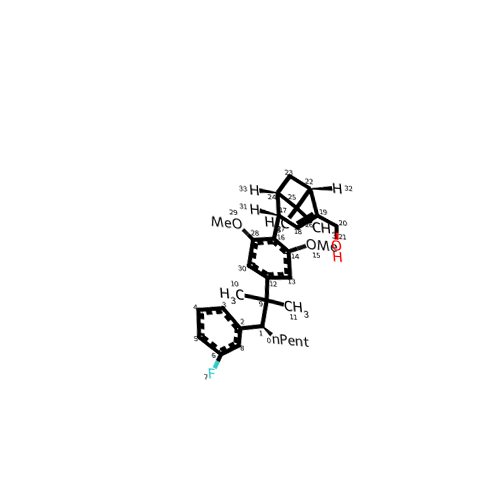 CCCCC[C@@H](c1cccc(F)c1)C(C)(C)c1cc(OC)c([C@H]2C=C(CO)[C@H]3C[C@@H]2C3(C)C)c(OC)c1